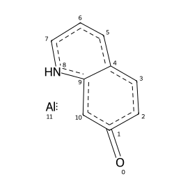 O=c1ccc2ccc[nH]c-2c1.[Al]